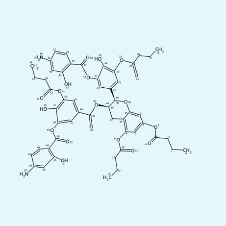 CCCC(=O)Oc1cc(OC(=O)CCC)c2c(c1)O[C@H](c1cc(OC(=O)CCC)c(O)c(OC(=O)c3ccc(N)cc3O)c1)[C@H](OC(=O)c1cc(OC(=O)CCC)c(O)c(OC(=O)c3ccc(N)cc3O)c1)C2